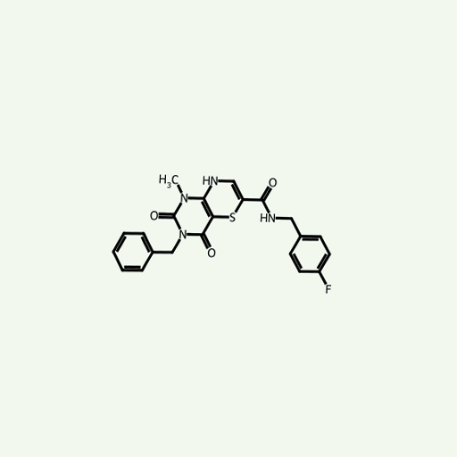 Cn1c2c(c(=O)n(Cc3ccccc3)c1=O)SC(C(=O)NCc1ccc(F)cc1)=CN2